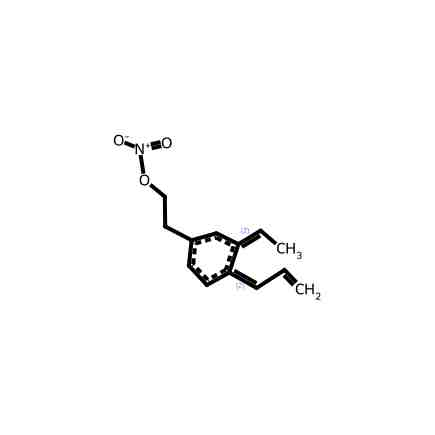 C=C/C=c1/ccc(CCO[N+](=O)[O-])c/c1=C/C